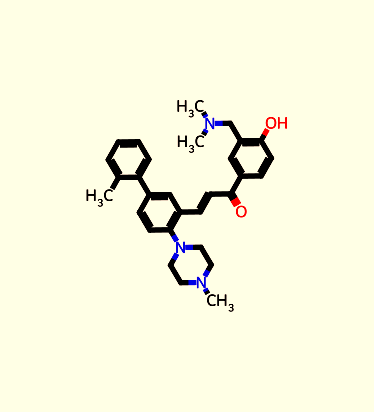 Cc1ccccc1-c1ccc(N2CCN(C)CC2)c(C=CC(=O)c2ccc(O)c(CN(C)C)c2)c1